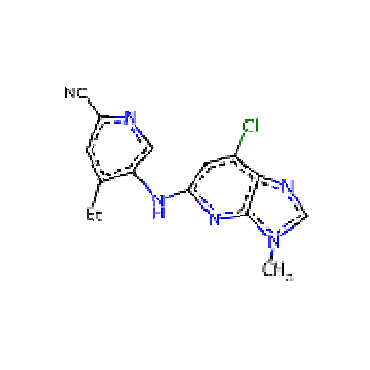 CCc1cc(C#N)ncc1Nc1cc(Cl)c2ncn(C)c2n1